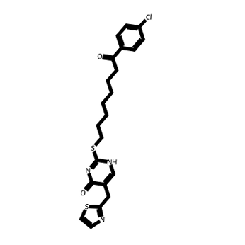 O=C(CCCCCCCSc1nc(=O)c(Cc2nccs2)c[nH]1)c1ccc(Cl)cc1